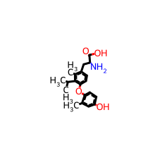 Cc1cc(O)ccc1Oc1ccc(CC(N)C(=O)O)c(C)c1C(C)C